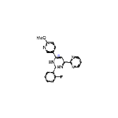 COc1ccc(/C(=C/C(=N)c2ncccn2)NCc2ccccc2F)cn1